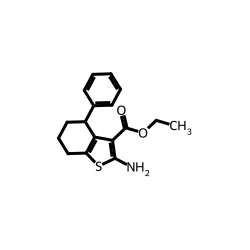 CCOC(=O)c1c(N)sc2c1C(c1ccccc1)CCC2